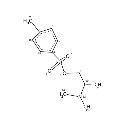 Cc1ccc(S(=O)(=O)OC[C@H](C)N(C)C)cc1